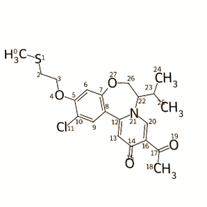 CSCCOc1cc2c(cc1Cl)-c1cc(=O)c(C(C)=O)cn1C(C(C)C)CO2